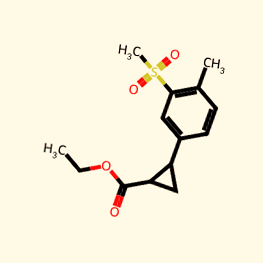 CCOC(=O)C1CC1c1ccc(C)c(S(C)(=O)=O)c1